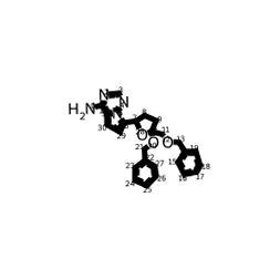 Nc1ncnn2c(C3CCC(COCc4ccccc4)(OCc4ccccc4)O3)ccc12